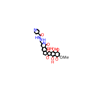 COC1=CC(=O)c2c(O)c3c(c(O)c2C1=O)C(=O)C1(CCc2cc4cc(/C=N/NC(=O)c5ccncc5)[nH]c(=O)c4c(O)c21)C3=O